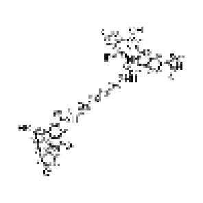 Cc1cc([C@H](C(=O)N2C[C@H](O)C[C@H]2C(=O)N[C@@H](CC(=O)NCCOCCOCCOCCNC(=O)c2ccc3c(c2)C(=O)OC32c3ccc(O)cc3Oc3cc(O)ccc32)c2ccc(-c3scnc3C)cc2)C(C)C)on1